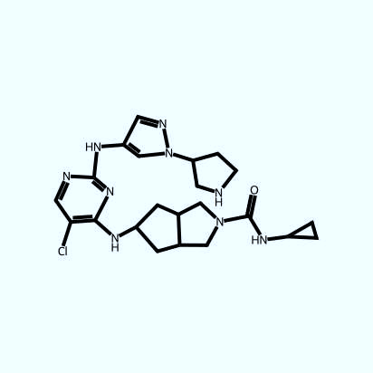 O=C(NC1CC1)N1CC2CC(Nc3nc(Nc4cnn(C5CCNC5)c4)ncc3Cl)CC2C1